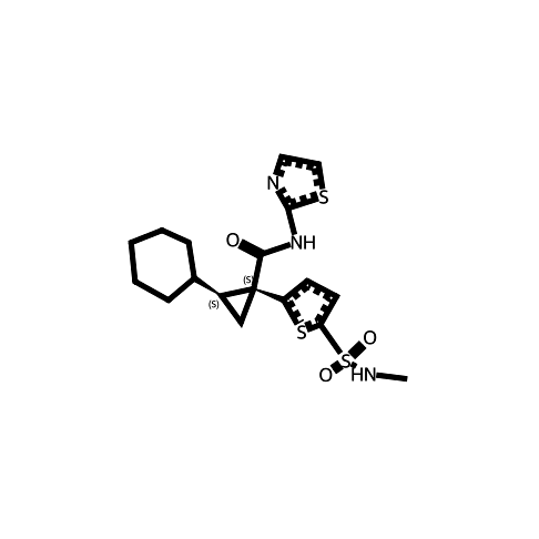 CNS(=O)(=O)c1ccc([C@@]2(C(=O)Nc3nccs3)C[C@H]2C2CCCCC2)s1